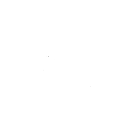 CCCCc1c(C(Cl)(Cl)C(Cl)(Cl)Cl)nnn1C(C)C